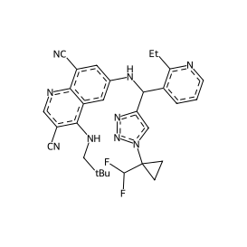 CCc1ncccc1C(Nc1cc(C#N)c2ncc(C#N)c(NCC(C)(C)C)c2c1)c1cn(C2(C(F)F)CC2)nn1